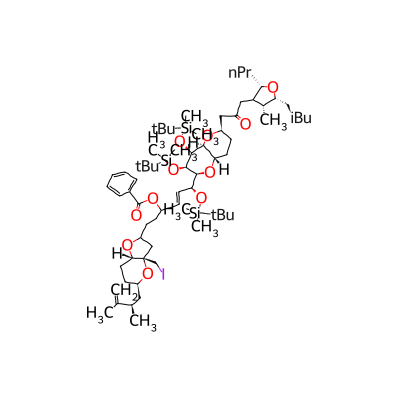 C=C(C)[C@H](C)C[C@H]1CC[C@@H]2OC(CCC(/C=C/[C@H](O[Si](C)(C)C(C)(C)C)[C@@H]3O[C@H]4CC[C@H](CC(=O)CC5[C@H](CCC)O[C@H](C[C@H](C)CC)[C@@H]5C)O[C@@H]4[C@H](O[Si](C)(C)C(C)(C)C)[C@@H]3O[Si](C)(C)C(C)(C)C)OC(=O)c3ccccc3)C[C@]2(CI)O1